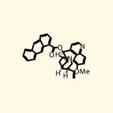 C=C[C@H]1CN2CC[C@H]1C[C@@H]2[C@@H](OC(=O)c1cccc2cc3ccccc3cc12)c1ccnc2ccc(OC)cc12